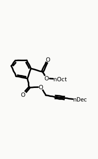 CCCCCCCCCCC#CCOC(=O)c1ccccc1C(=O)OCCCCCCCC